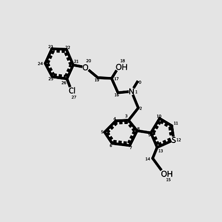 CN(Cc1ccccc1-c1ccsc1CO)CC(O)COc1ccccc1Cl